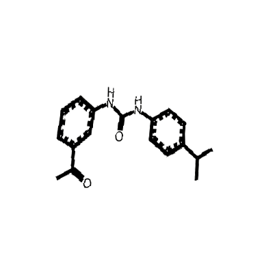 CC(=O)c1cccc(NC(=O)Nc2ccc(C(C)C)cc2)c1